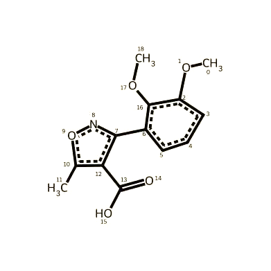 COc1cccc(-c2noc(C)c2C(=O)O)c1OC